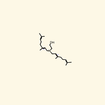 CC(C)=CCC/C(C)=C/CN(C/C=C(\C)CCC=C(C)C)CCO